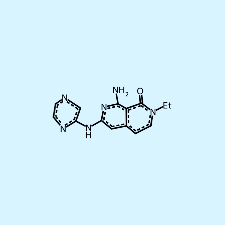 CCn1ccc2cc(Nc3cnccn3)nc(N)c2c1=O